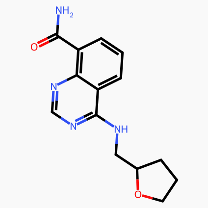 NC(=O)c1cccc2c(NCC3CCCO3)ncnc12